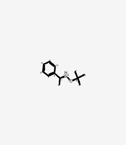 CC([SiH2]OC(C)(C)C)c1ccccc1